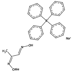 CON=C(C)C=NO.[Na+].c1ccc([B-](c2ccccc2)(c2ccccc2)c2ccccc2)cc1